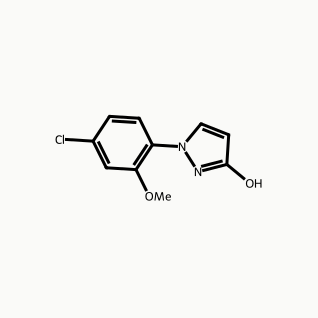 COc1cc(Cl)ccc1-n1ccc(O)n1